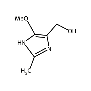 COc1[nH]c(C)nc1CO